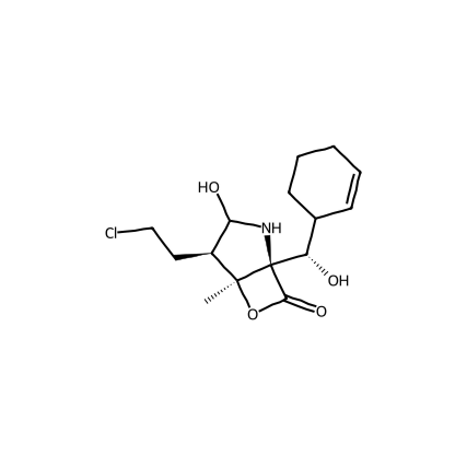 C[C@@]12OC(=O)[C@]1([C@@H](O)C1C=CCCC1)NC(O)[C@@H]2CCCl